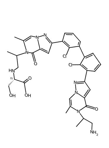 Cc1cn2nc(-c3cccc(-c4cccc(-c5cc6c(=O)n(C(C)CN[C@@H](CO)C(=O)O)c(C)cn6n5)c4Cl)c3Cl)cc2c(=O)n1C(C)CN